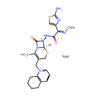 CO/N=C(/C(=O)N[C@@H]1C(=O)N2C(C(=O)O)=C(C[n+]3cccc4c3CCCC4)CS[C@H]12)c1csc(N)n1.[NaH]